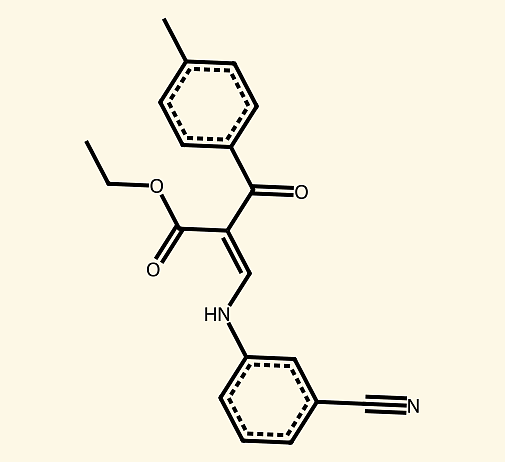 CCOC(=O)C(=CNc1cccc(C#N)c1)C(=O)c1ccc(C)cc1